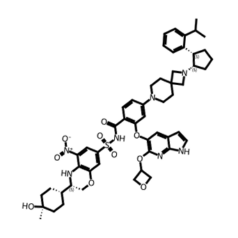 CC(C)c1ccccc1[C@@H]1CCC[C@@H]1N1CC2(CCN(c3ccc(C(=O)NS(=O)(=O)c4cc5c(c([N+](=O)[O-])c4)N[C@@H]([C@H]4CC[C@](C)(O)CC4)CO5)c(Oc4cc5cc[nH]c5nc4OC4COC4)c3)CC2)C1